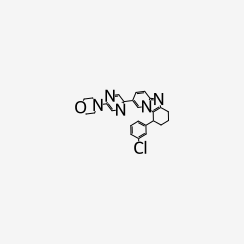 Clc1cccc(C2CCCc3nc4ccc(-c5cnc(N6CCOCC6)cn5)cn4c32)c1